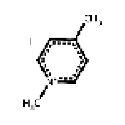 Cc1cc[n+](C)cc1.[I-]